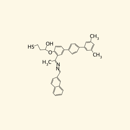 C/C(=N\N=C\c1ccc2ccccc2c1)c1cc(-c2ccc(-c3cc(C)cc(C)c3)cc2)ccc1OC(O)CCS